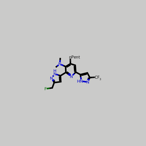 CCCCCc1cc(-c2cc(C(F)(F)F)n[nH]2)nc(-c2cc(CF)n[nH]2)c1N(C)C